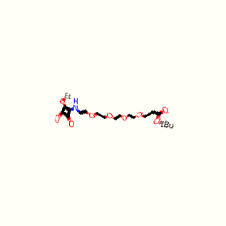 CCOc1c(NCCOCCOCCOCCOCCC(=O)OC(C)(C)C)c(=O)c1=O